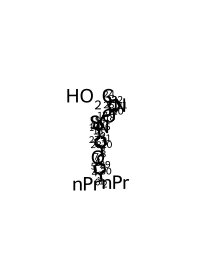 CCCC(CCC)c1ccc(OCc2ccc(-c3csc(COc4cncc(C(=O)O)c4)n3)cc2)cc1